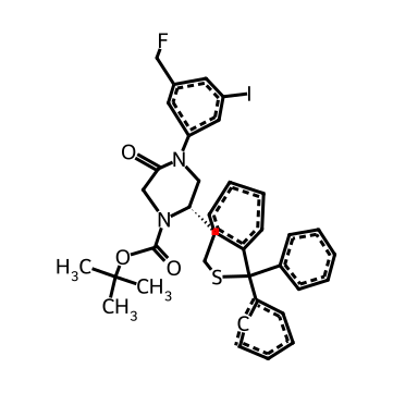 CC(C)(C)OC(=O)N1CC(=O)N(c2cc(I)cc(CF)c2)C[C@@H]1CCSC(c1ccccc1)(c1ccccc1)c1ccccc1